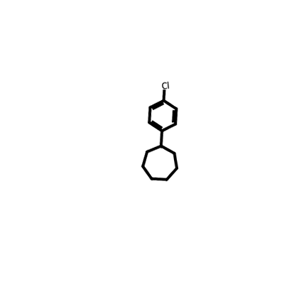 Clc1ccc([C]2CCCCCC2)cc1